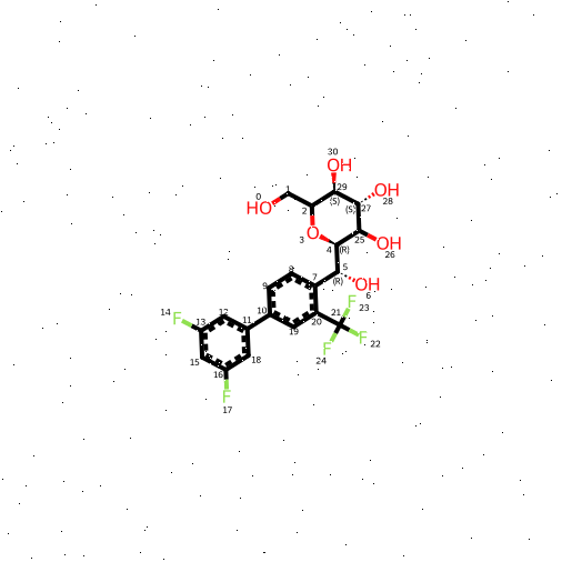 OCC1O[C@H]([C@H](O)c2ccc(-c3cc(F)cc(F)c3)cc2C(F)(F)F)C(O)[C@@H](O)[C@@H]1O